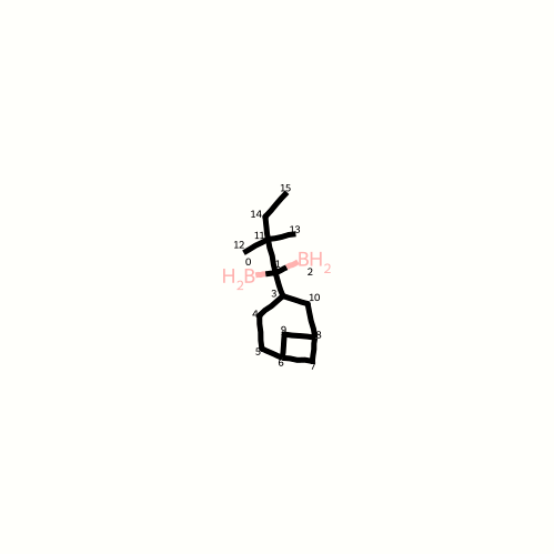 BC(B)(C1CCC2CC(C2)C1)C(C)(C)CC